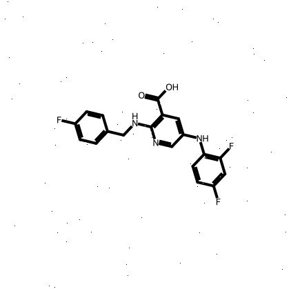 O=C(O)c1cc(Nc2ccc(F)cc2F)cnc1NCc1ccc(F)cc1